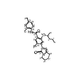 CCCC(C)Oc1cc(-n2nc3n(c2=O)CCCC3)c(F)cc1C(=O)Nc1ncc(C)nc1C